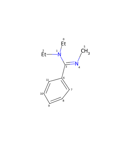 CCN(CC)C(=NC)c1ccccc1